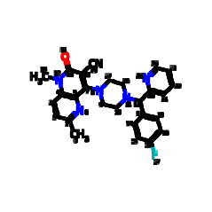 Cc1ccc2c(n1)c(N1CCN(C(c3ccc(F)cc3)c3ccccn3)CC1)c(C#N)c(=O)n2C